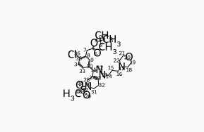 CC(C)(C)OC(=O)Cc1cc(-c2nn(CCCN3CCOCC3)c3c2CN(S(C)(=O)=O)CC3)ccc1Cl